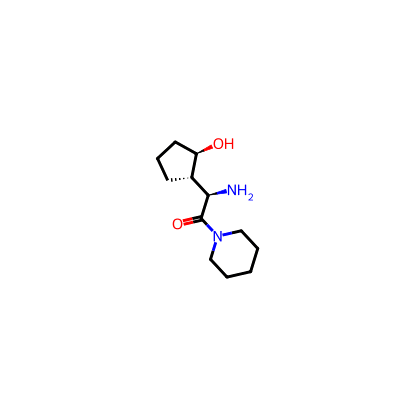 N[C@@H](C(=O)N1CCCCC1)[C@@H]1CCC[C@H]1O